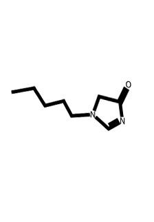 CCCCCN1C=NC(=O)C1